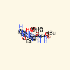 CCn1c(CNC(=O)c2nc3cc[nH]c3nc2N)[n+](CC)c2ccc(C(=O)NCCCNC(=O)OC(C)(C)C)cc21.O=CO.O=C[O-]